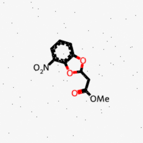 COC(=O)CC1Oc2cccc([N+](=O)[O-])c2O1